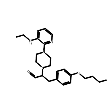 CCCCOc1ccc(CC(C=O)N2CCN(c3ncccc3NCC)CC2)cc1